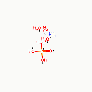 N.O.O.O.O=P(O)(O)O